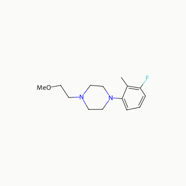 COCCN1CCN(c2cccc(F)c2C)CC1